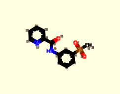 CS(=O)(=O)c1cccc(NC(=O)c2ccccn2)c1